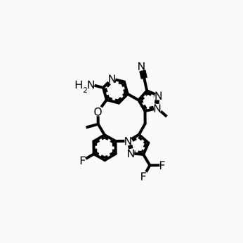 CC1Oc2cc(cnc2N)-c2c(C#N)nn(C)c2Cc2cc(C(F)F)nn2-c2ccc(F)cc21